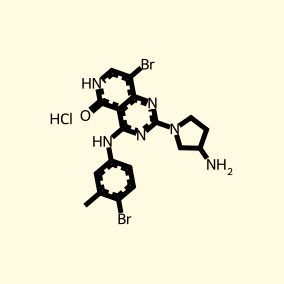 Cc1cc(Nc2nc(N3CCC(N)C3)nc3c(Br)c[nH]c(=O)c23)ccc1Br.Cl